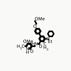 CCN(c1cc(-c2ccc(OCCOC)cc2)cc(C(=O)NCc2c(OC)cc(C)[nH]c2=O)c1C)C1CCCCC1